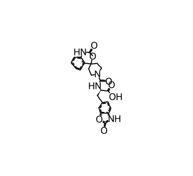 O=C1Nc2ccccc2C2(CCN(C(=O)N[C@H](Cc3ccc4[nH]c(=O)oc4c3)C(=O)O)CC2)O1